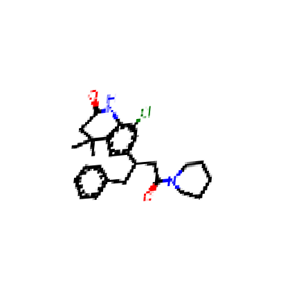 CC1(C)CC(=O)Nc2c(Cl)cc([C@@H](CC(=O)N3CCCCC3)Cc3ccccc3)cc21